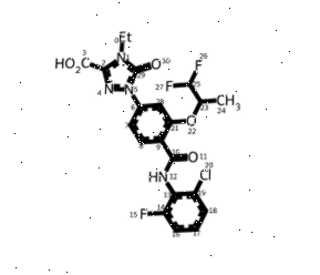 CCn1c(C(=O)O)nn(-c2ccc(C(=O)Nc3c(F)cccc3Cl)c(OC(C)C(F)F)c2)c1=O